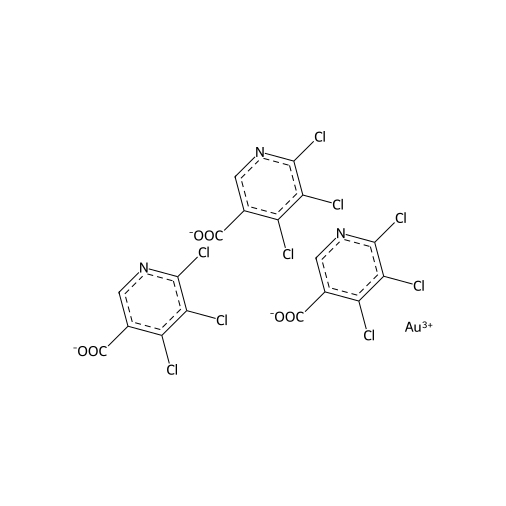 O=C([O-])c1cnc(Cl)c(Cl)c1Cl.O=C([O-])c1cnc(Cl)c(Cl)c1Cl.O=C([O-])c1cnc(Cl)c(Cl)c1Cl.[Au+3]